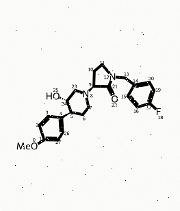 COc1ccc([C@@H]2CCN([C@H]3CCN(Cc4ccc(F)cc4)C3=O)C[C@H]2O)cc1